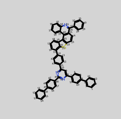 c1ccc(-c2ccc(-c3cc(-c4ccc(-c5cccc6c5sc5ccc7c(-c8ccccc8)nc8ccccc8c7c56)cc4)nc(-c4ccc(-c5ccccc5)cc4)n3)cc2)cc1